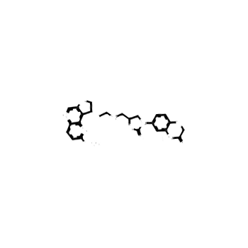 COc1ccc2ncc3c(c2n1)[C@@H](CCNCC1CN(c2ccc4c(c2)NC(=O)CS4)C(=O)O1)CO3